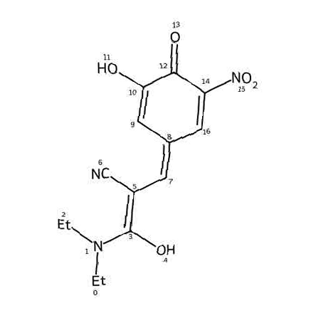 CCN(CC)/C(O)=C(C#N)/C=C1\C=C(O)C(=O)C([N+](=O)[O-])=C1